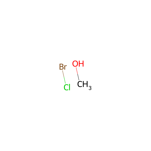 CO.ClBr